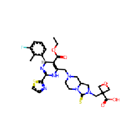 CCOC(=O)C1=C(CN2CCN3C(=S)N(CC4(C(=O)O)COC4)CC3C2)NC(c2nccs2)=N[C@H]1c1cccc(F)c1C